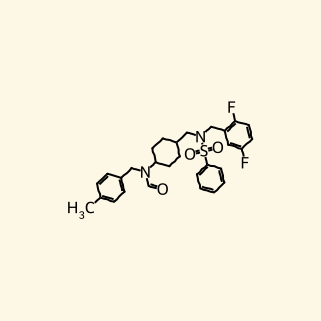 Cc1ccc(CN(C=O)C2CCC(CN(Cc3cc(F)ccc3F)S(=O)(=O)c3ccccc3)CC2)cc1